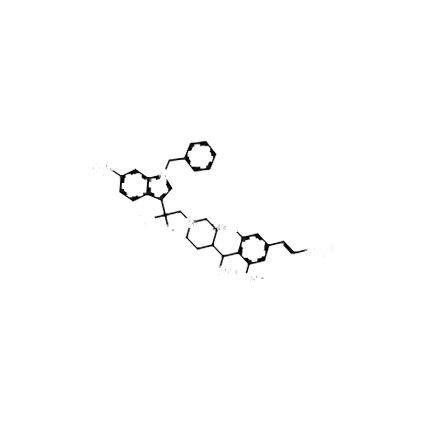 COc1cc(C=CC(=O)O)cc(OC)c1C(OC)C1CCN(CC(O)(c2cn(Cc3ccccc3)c3cc([N+](=O)[O-])ccc23)C(F)(F)F)CC1